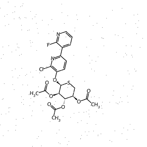 CC(=O)O[C@@H]1[C@@H](OC(C)=O)[C@@H](Oc2ccc(-c3cccnc3F)nc2Cl)SC[C@H]1OC(C)=O